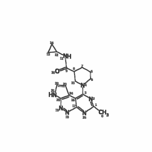 Cc1nc(N2CCCC(C(=O)NC3CC3)C2)c2c(nnc3[nH]ccc32)n1